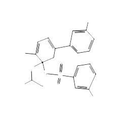 O=S(=O)(NC1(OC(F)F)CC(c2cccc(F)c2)=CC=C1F)c1cccc(Cl)c1